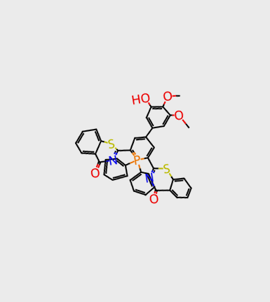 COc1cc(C2=CC(c3nc(=O)c4ccccc4s3)=P(c3ccccc3)(c3ccccc3)C(c3nc(=O)c4ccccc4s3)=C2)cc(O)c1OC